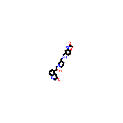 COc1cnc2cccc(C(O)CN3CCCC(CNCc4ccc5c(c4)NC(=O)CO5)C3)c2c1